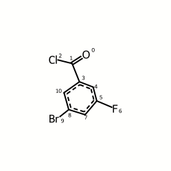 O=C(Cl)c1cc(F)cc(Br)c1